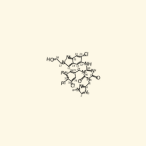 Cn1cnc(Cn2c(=O)nc(Nc3cc4cn(CCO)nc4cc3Cl)n(Cc3cc(F)c(F)c(Cl)c3)c2=O)n1